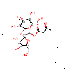 CC(=O)CC(=O)OC[C@@]1(O[C@H]2O[C@H](CO)[C@@H](O)[C@H](O)[C@H]2O)O[C@H](CO)[C@@H](O)[C@@H]1O